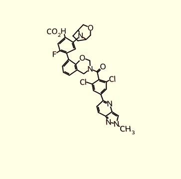 Cn1cc2nc(-c3cc(Cl)c(C(=O)N4COc5c(cccc5-c5cc(N6C7CCC6COC7)c(C(=O)O)cc5F)C4)c(Cl)c3)ccc2n1